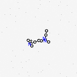 CC1(C)c2ccccc2-c2nc3ccccc3c(-c3ccc(-c4ccc5cc(-c6nc(-c7ccccc7)cc(-c7ccc(-c8ccccc8)cc7)n6)ccc5c4)cc3)c21